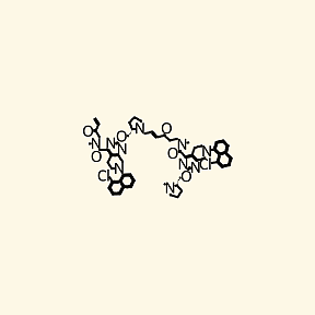 C=CC(=O)CN(C)C(=O)c1nc(OC[C@@H]2CCCN2C/C=C/C(=O)CCN(C)C(=O)c2nc(OC[C@@H]3CCCN3C)nc3c2CCN(c2cccc4cccc(Cl)c24)C3)nc2c1CCN(c1cccc3cccc(Cl)c13)C2